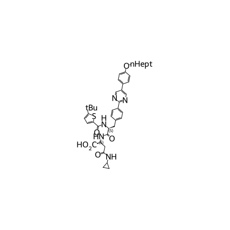 CCCCCCCOc1ccc(-c2cnc(-c3ccc(C[C@H](NC(=O)c4ccc(C(C)(C)C)s4)C(=O)N[C@@H](CC(=O)NC4CC4)C(=O)O)cc3)nc2)cc1